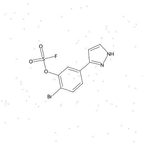 O=S(=O)(F)Oc1cc(-c2cc[nH]n2)ccc1Br